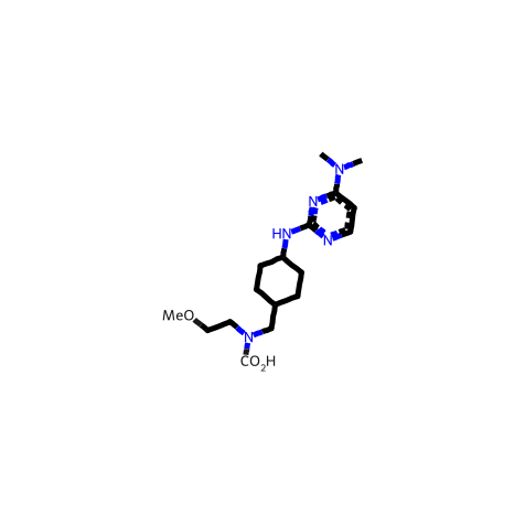 COCCN(CC1CCC(Nc2nccc(N(C)C)n2)CC1)C(=O)O